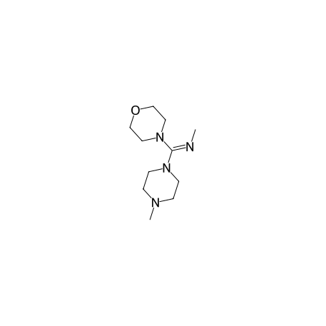 C/N=C(\N1CCOCC1)N1CCN(C)CC1